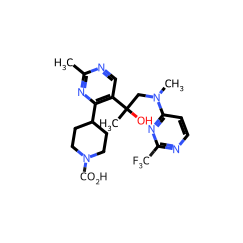 Cc1ncc(C(C)(O)CN(C)c2ccnc(C(F)(F)F)n2)c(C2CCN(C(=O)O)CC2)n1